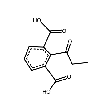 CCC(=O)c1c(C(=O)O)cccc1C(=O)O